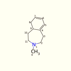 CN1CCC2=CC=CCC2CC1